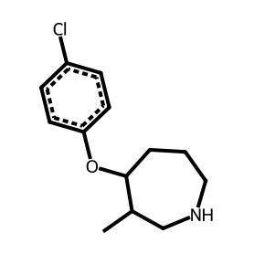 CC1CNCCCC1Oc1ccc(Cl)cc1